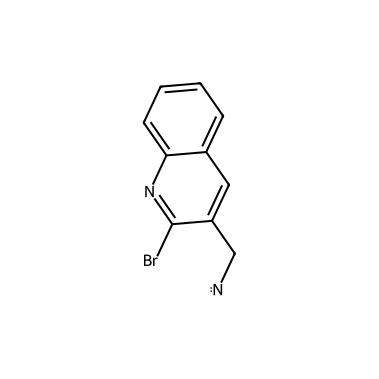 [N]Cc1cc2ccccc2nc1Br